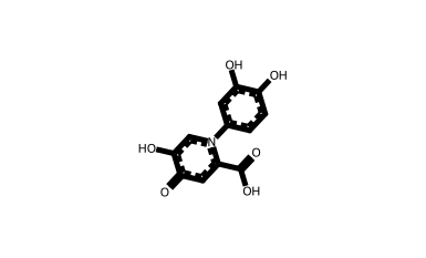 O=C(O)c1cc(=O)c(O)cn1-c1ccc(O)c(O)c1